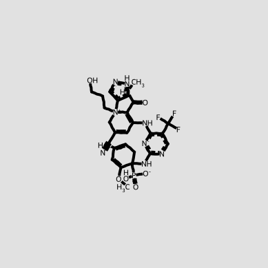 CNC(=O)C1=C(Nc2nc(NC3(P(=O)([O-])O)CC=C(C)C=C3OC)ncc2C(F)(F)F)C=C(C#N)C[N+]1(CCCO)c1cn[nH]c1